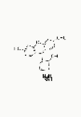 O=CC1C=CC2=C(c3ccccc3O)c3ccc(O)cc3OC2=C1.[NaH].[NaH]